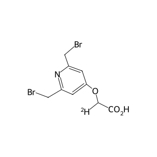 [2H]C(Oc1cc(CBr)nc(CBr)c1)C(=O)O